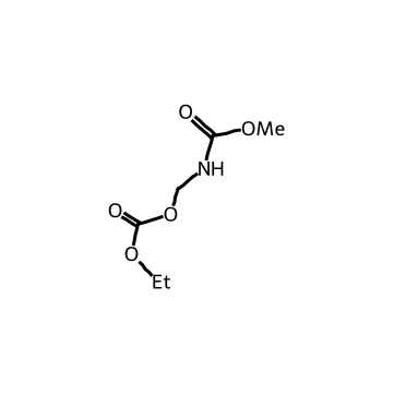 CCOC(=O)OCNC(=O)OC